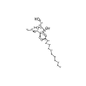 CCCCCCCCCCCC(=O)O[C@@H](C(=O)COCC)[C@@H](O)[C@H](O)CO